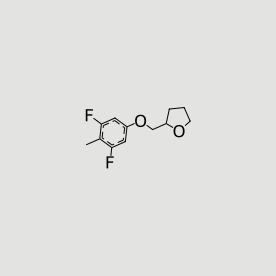 Cc1c(F)cc(OCC2CCCO2)cc1F